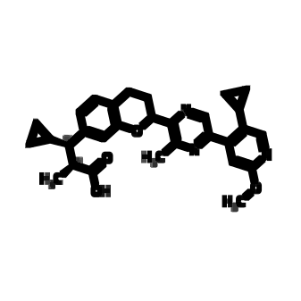 COc1cc(-c2cnc(C3CCc4ccc([C@H](C5CC5)[C@H](C)C(=O)O)cc4O3)c(C)n2)c(C2CC2)cn1